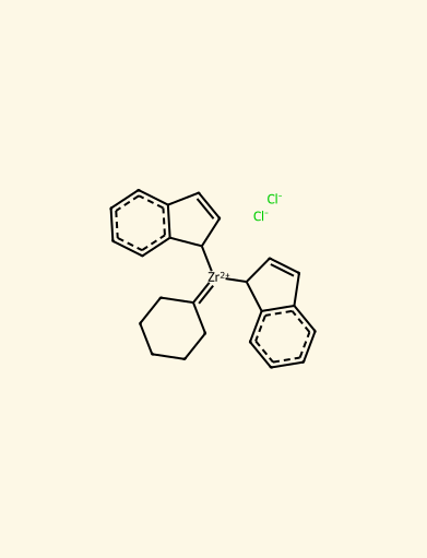 C1=C[CH]([Zr+2](=[C]2CCCCC2)[CH]2C=Cc3ccccc32)c2ccccc21.[Cl-].[Cl-]